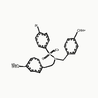 COc1ccc(CN(Cc2ccc(OC)cc2)S(=O)(=O)c2ccc(Br)cc2)cc1